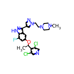 C[C@@H](Oc1cc(F)c2[nH]nc(-c3cnn(CCN4CCN(C)CC4)c3)c2c1)c1c(Cl)cncc1Cl